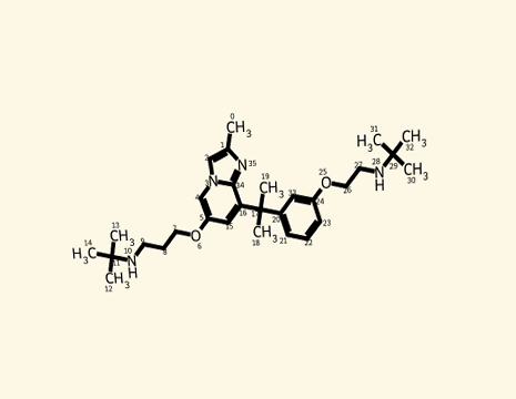 Cc1cn2cc(OCCCNC(C)(C)C)cc(C(C)(C)c3cccc(OCCNC(C)(C)C)c3)c2n1